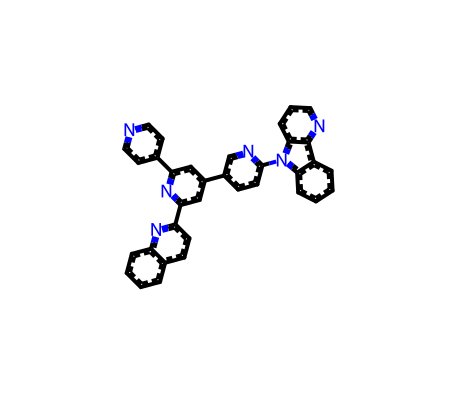 c1ccc2nc(-c3cc(-c4ccc(-n5c6ccccc6c6ncccc65)nc4)cc(-c4ccncc4)n3)ccc2c1